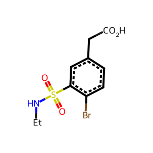 CCNS(=O)(=O)c1cc(CC(=O)O)ccc1Br